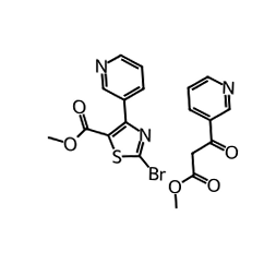 COC(=O)CC(=O)c1cccnc1.COC(=O)c1sc(Br)nc1-c1cccnc1